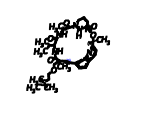 CC(C)C1NC(=O)[C@](C)(COCCS(C)(C)C)/C=C/c2ccc3ccc(nc3c2)[C@@H](C)OC(=O)[C@@H]2CCCN(N2)C(=O)[C@H](C)NC1=O